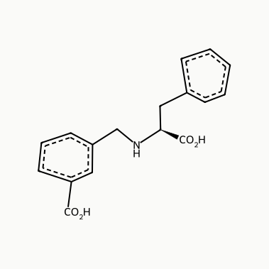 O=C(O)c1cccc(CN[C@@H](Cc2ccccc2)C(=O)O)c1